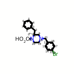 C[C@]1(Cc2ccccc2)CN(Cc2ccc(Br)cc2)CCN1C(=O)O